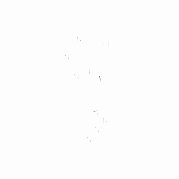 [N-]=[N+]=N[C@@]1(O)CC[C@H](c2cc(Cl)c3c(N)ncnn23)O1